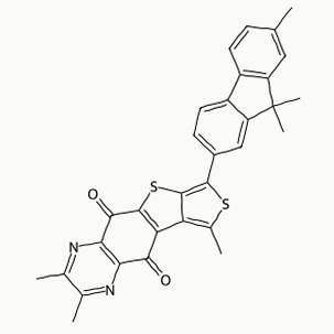 Cc1ccc2c(c1)C(C)(C)c1cc(-c3sc(C)c4c5c(sc34)C(=O)c3nc(C)c(C)nc3C5=O)ccc1-2